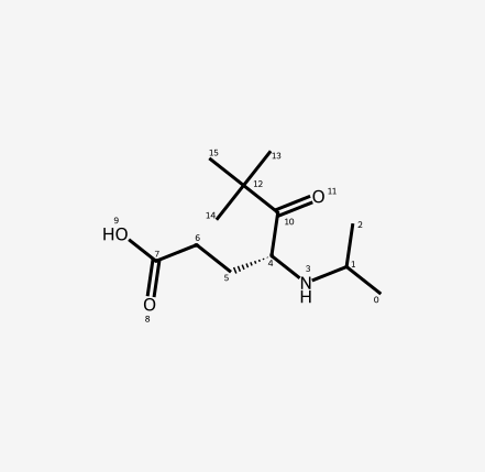 CC(C)N[C@H](CCC(=O)O)C(=O)C(C)(C)C